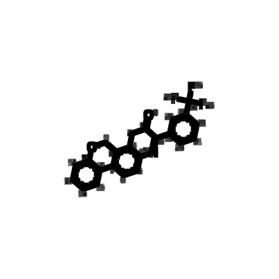 O=C1Cc2c(ccc3c2COc2ccccc2-3)N=C1c1cccc(C(F)(F)F)c1